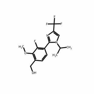 COc1c(CO)ccc(-c2nc(C(F)(F)F)cn2C(C)C)c1F